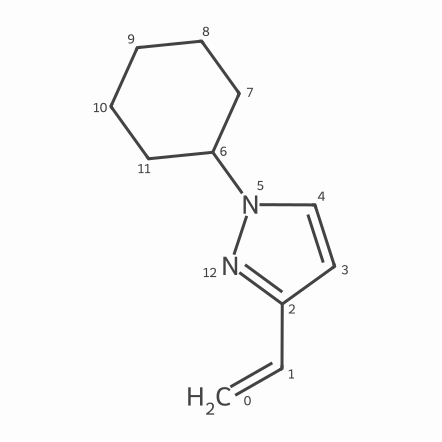 C=Cc1ccn(C2CCCCC2)n1